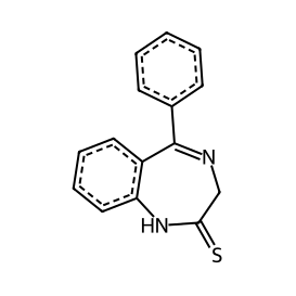 S=C1CN=C(c2ccccc2)c2ccccc2N1